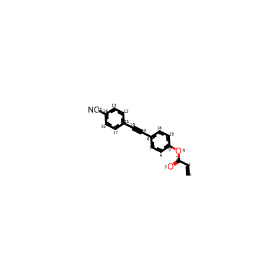 C=CC(=O)Oc1ccc(C#Cc2ccc(C#N)cc2)cc1